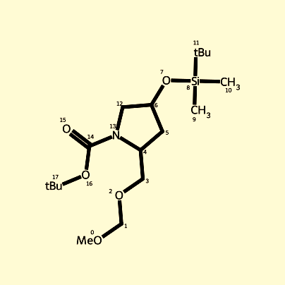 COCOCC1CC(O[Si](C)(C)C(C)(C)C)CN1C(=O)OC(C)(C)C